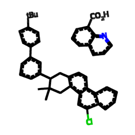 CC(C)(C)c1ccc(-c2cccc(C3Cc4ccc5c(cc(Cl)c6ccccc65)c4CC3(C)C)c2)cc1.O=C(O)c1cccc2cccnc12